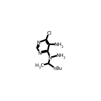 CCCCC(C)N(N)c1ncnc(Cl)c1N